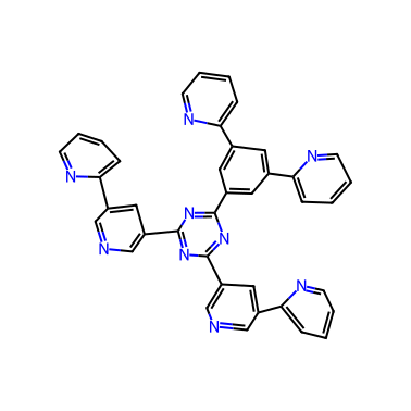 c1ccc(-c2cncc(-c3nc(-c4cncc(-c5ccccn5)c4)nc(-c4cc(-c5ccccn5)cc(-c5ccccn5)c4)n3)c2)nc1